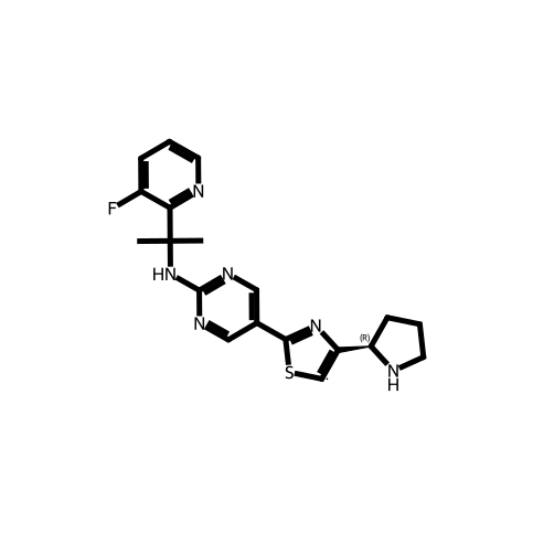 CC(C)(Nc1ncc(-c2nc([C@H]3CCCN3)[c]s2)cn1)c1ncccc1F